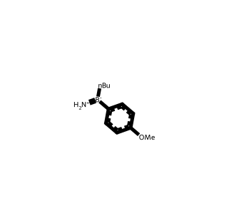 CCCC[B-](=[NH2+])c1ccc(OC)cc1